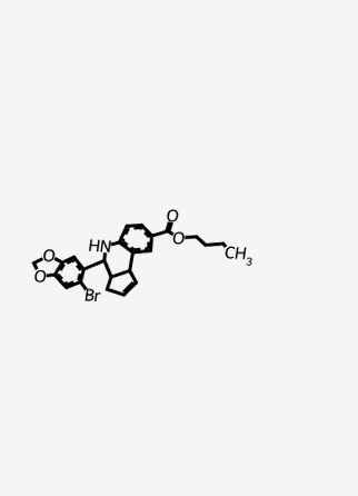 CCCCOC(=O)c1ccc2c(c1)C1C=CCC1C(c1cc3c(cc1Br)OCO3)N2